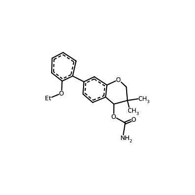 CCOc1ccccc1-c1ccc2c(c1)OCC(C)(C)C2OC(N)=O